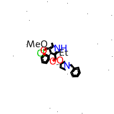 CCC1=C(C(=O)O[C@]2(C)CCN(Cc3ccccc3)C2)[C@@H](c2ccccc2Cl)C(C(=O)OC)=C(C)N1